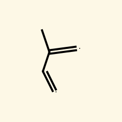 [CH]=CC(=[CH])C